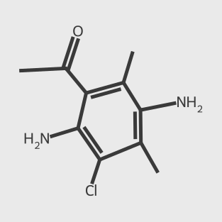 CC(=O)c1c(C)c(N)c(C)c(Cl)c1N